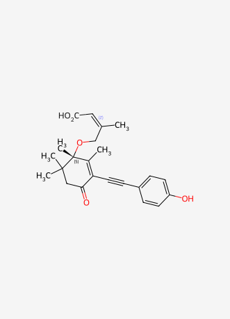 CC1=C(C#Cc2ccc(O)cc2)C(=O)CC(C)(C)[C@]1(C)OC/C(C)=C\C(=O)O